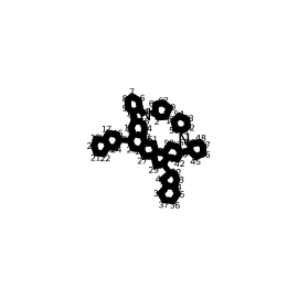 c1ccc(-n2c3ccccc3c3cc4c(-c5ccc6ccccc6c5)cc5cc6cc(-c7ccc8ccccc8c7)c7cc8c9ccccc9n(-c9ccccc9)c8cc7c6cc5c4cc32)cc1